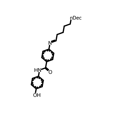 CCCCCCCCCCCCCCC=Nc1ccc(C(=O)Nc2ccc(O)cc2)cc1